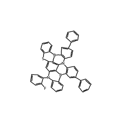 Fc1ccccc1N1c2ccccc2B2c3cc(-c4ccccc4)ccc3N3c4ccc(-c5ccccc5)cc4B4c5ccccc5Sc5cc1c2c3c54